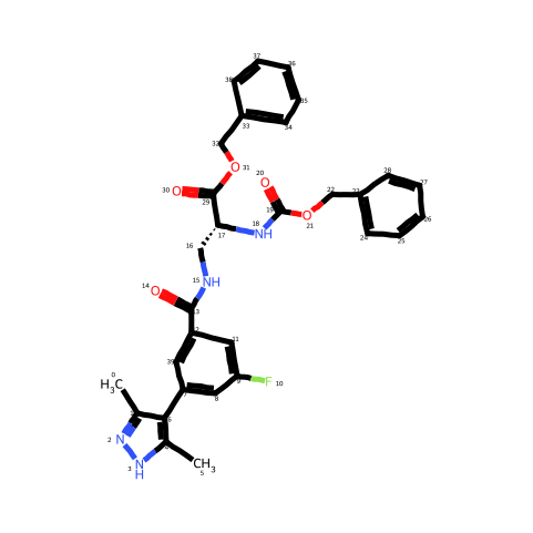 Cc1n[nH]c(C)c1-c1cc(F)cc(C(=O)NC[C@@H](NC(=O)OCc2ccccc2)C(=O)OCc2ccccc2)c1